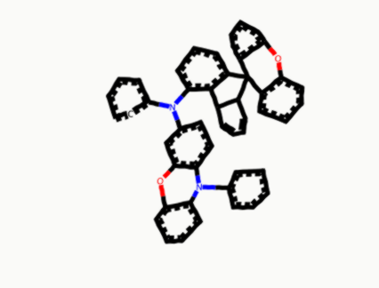 C1=CC2c3c(N(c4ccccc4)c4ccc5c(c4)Oc4ccccc4N5c4ccccc4)cccc3C3(c4ccccc4Oc4ccccc43)C2C=C1